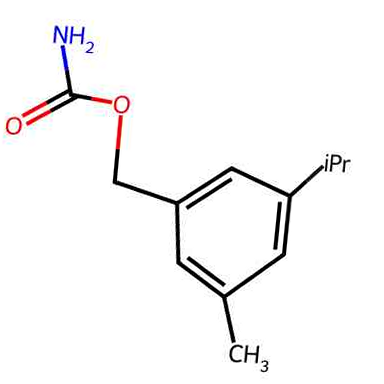 Cc1cc(COC(N)=O)cc(C(C)C)c1